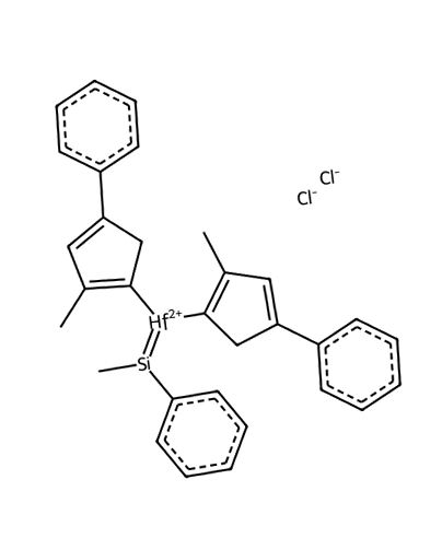 CC1=[C]([Hf+2]([C]2=C(C)C=C(c3ccccc3)C2)=[Si](C)c2ccccc2)CC(c2ccccc2)=C1.[Cl-].[Cl-]